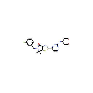 CC1(C)C2=C(NC(c3ccnc(NC4CCOCC4)n3)S2)C(=O)N1Cc1cccc(F)c1